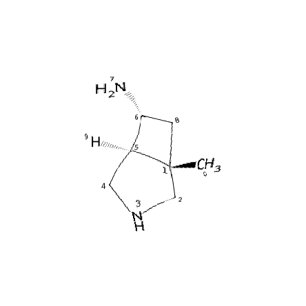 C[C@@]12CNC[C@H]1[C@H](N)C2